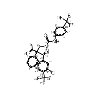 CC(=O)C1(c2ccccc2)CN(C(=O)Nc2ccc(C(F)(F)F)cc2)N=C1c1ccc(C(F)(F)F)c(Cl)c1